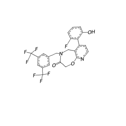 O=C1COc2nccc(-c3c(O)cccc3F)c2CN1Cc1cc(C(F)(F)F)cc(C(F)(F)F)c1